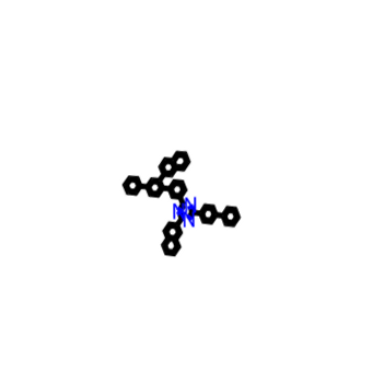 c1ccc(-c2ccc(-c3nc(-c4cccc(-c5ccc(-c6ccccc6)cc5-c5ccc6ccccc6c5)c4)nc(-c4ccc5ccccc5c4)n3)cc2)cc1